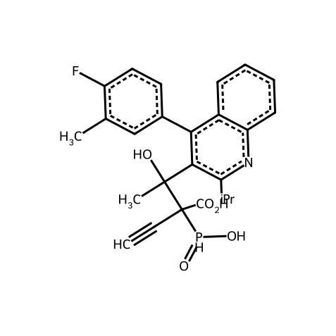 C#CC(C(=O)O)([PH](=O)O)C(C)(O)c1c(C(C)C)nc2ccccc2c1-c1ccc(F)c(C)c1